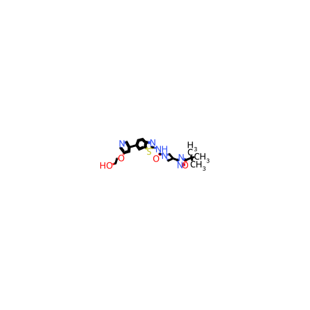 CC(C)(C)c1nc(C2CN(C(=O)Nc3nc4ccc(-c5cncc(OCCO)c5)cc4s3)C2)no1